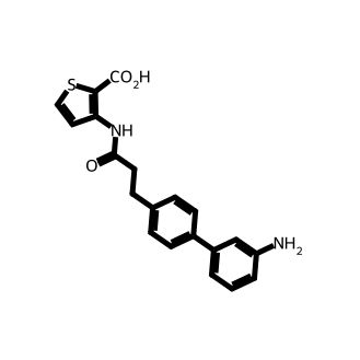 Nc1cccc(-c2ccc(CCC(=O)Nc3ccsc3C(=O)O)cc2)c1